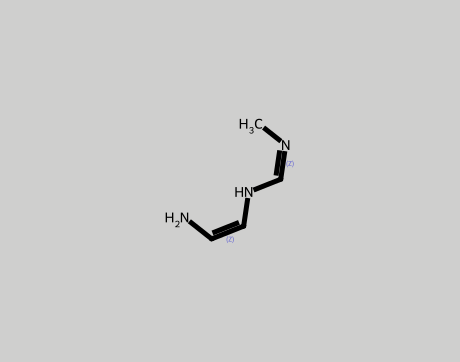 C/N=C\N/C=C\N